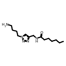 CCCCCCC(=O)NCc1cn(CCCCN)nn1